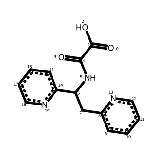 O=C(O)C(=O)NC(Cc1ccccn1)c1ccccn1